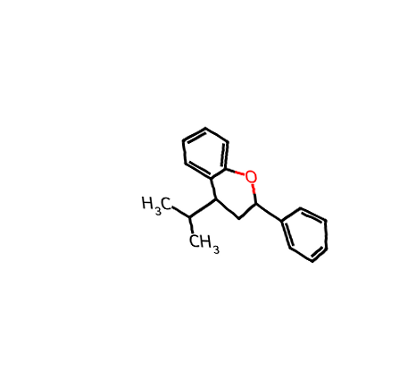 CC(C)C1CC(c2ccccc2)Oc2ccccc21